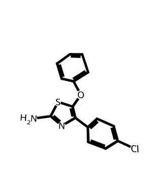 Nc1nc(-c2ccc(Cl)cc2)c(Oc2ccccc2)s1